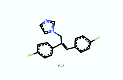 Cl.Fc1ccc(C=C(Cn2ccnc2)c2ccc(F)cc2)cc1